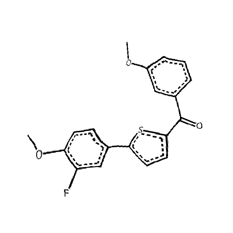 COc1cccc(C(=O)c2ccc(-c3ccc(OC)c(F)c3)s2)c1